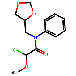 CCCCOC(Cl)C(=O)N(CC1COCO1)c1ccccc1